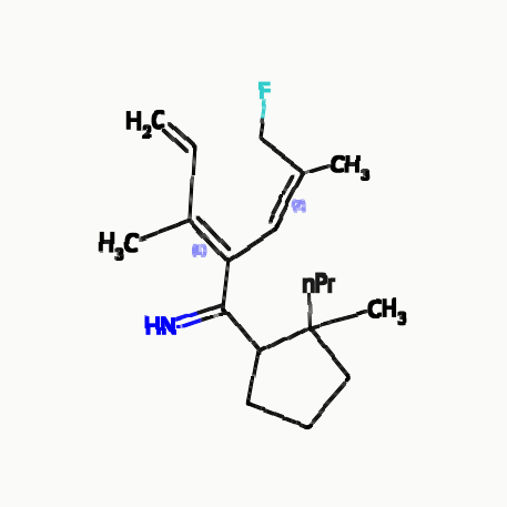 C=C/C(C)=C(\C=C(\C)CF)C(=N)C1CCCC1(C)CCC